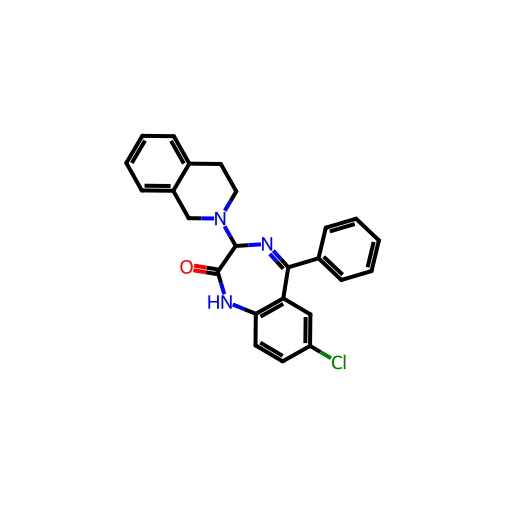 O=C1Nc2ccc(Cl)cc2C(c2ccccc2)=NC1N1CCc2ccccc2C1